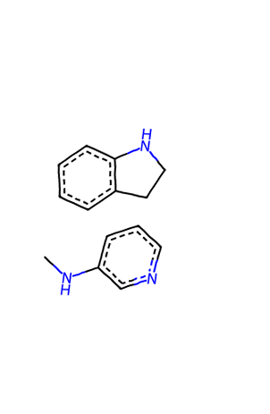 CNc1cccnc1.c1ccc2c(c1)CCN2